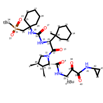 CCCC[C@H](NC(=O)[C@@H]1[C@@H](C)[C@@H](C)CN1C(=O)[C@@H](NC(=O)NC1(CS(=O)(=O)C(C)(C)C)CCCCC1)C1(C)CCCCC1)C(=O)C(=O)NC1CC1